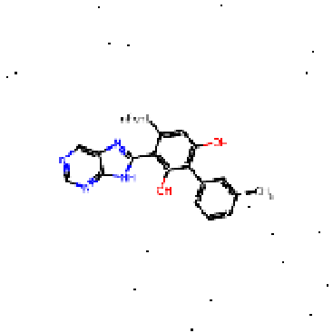 CCCCCc1cc(O)c(-c2cccc(C)c2)c(O)c1-c1nc2cncnc2[nH]1